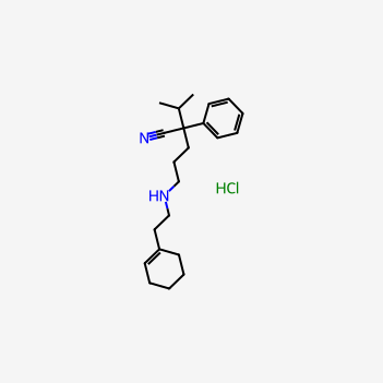 CC(C)C(C#N)(CCCNCCC1=CCCCC1)c1ccccc1.Cl